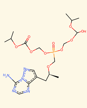 CC(C)OC(=O)OCOP(=O)(CO[C@@H](C)Cc1cnn2c(N)ncnc12)OCOC(O)OC(C)C